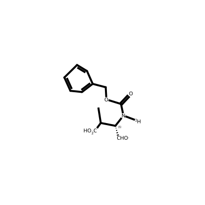 [2H]N(C(=O)OCc1ccccc1)[C@H]([C]=O)C(C)C(=O)O